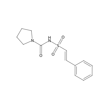 O=C(NS(=O)(=O)/C=C/c1ccccc1)N1CCCC1